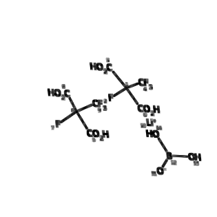 O=C(O)C(F)(C(=O)O)C(F)(F)F.O=C(O)C(F)(C(=O)O)C(F)(F)F.[Li+].[O-]B(O)O